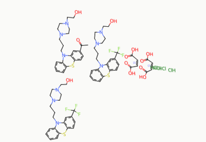 CC(=O)c1ccc2c(c1)N(CCCN1CCN(CCO)CC1)c1ccccc1S2.Cl.Cl.Cl.Cl.O=C(O)/C=C\C(=O)O.O=C(O)/C=C\C(=O)O.OCCN1CCN(CCCN2c3ccccc3Sc3ccc(C(F)(F)F)cc32)CC1.OCCN1CCN(CCCN2c3ccccc3Sc3ccc(C(F)(F)F)cc32)CC1